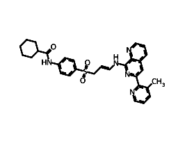 Cc1cccnc1-c1cc2cccnc2c(NC=CCS(=O)(=O)c2ccc(NC(=O)C3CCCCC3)cc2)n1